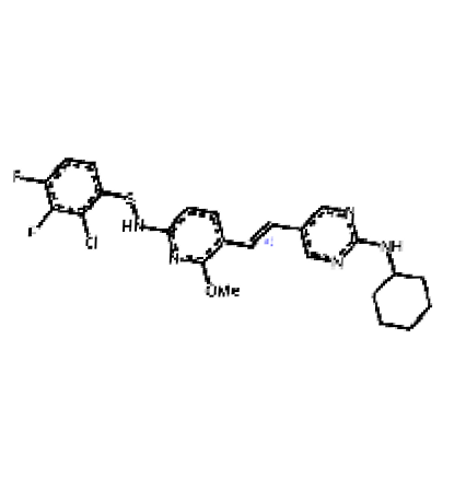 COc1nc(NSc2ccc(F)c(F)c2Cl)ccc1/C=C/c1cnc(NC2CCCCC2)nc1